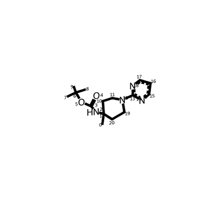 CC1(NC(=O)OC(C)(C)C)CCN(c2ncccn2)CC1